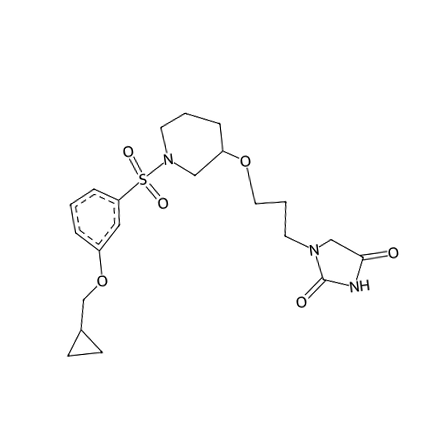 O=C1CN(CCCOC2CCCN(S(=O)(=O)c3cccc(OCC4CC4)c3)C2)C(=O)N1